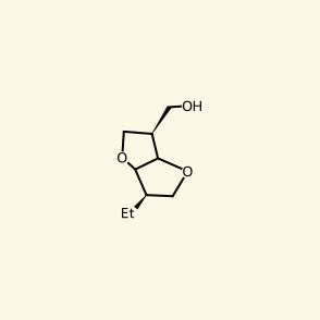 CC[C@@H]1COC2C1OC[C@H]2CO